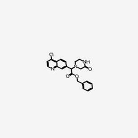 O=C1CN(C(C(=O)OCc2ccccc2)c2ccc3c(Cl)ccnc3c2)CCN1